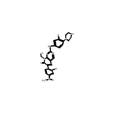 CCn1c(=O)c(-c2ccc([S+](C)[O-])cc2Cl)cc2cnc(Nc3ccc(N4CCNCC4)c(F)c3)nc21